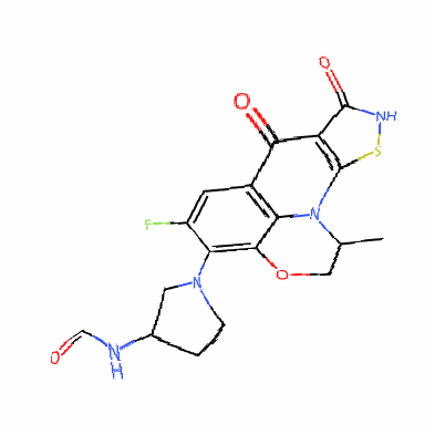 CC1COc2c(N3CCC(NC=O)C3)c(F)cc3c(=O)c4c(=O)[nH]sc4n1c23